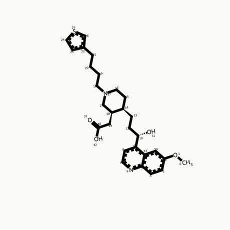 COc1ccc2nccc([C@@H](O)CC[C@@H]3CCN(CCCCc4ccsc4)C[C@@H]3CC(=O)O)c2c1